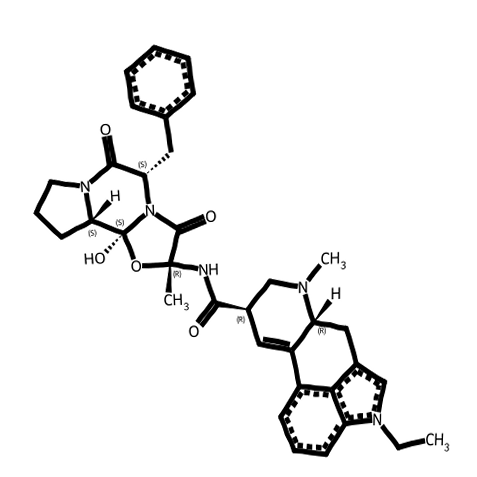 CCn1cc2c3c(cccc31)C1=C[C@@H](C(=O)N[C@]3(C)O[C@@]4(O)[C@@H]5CCCN5C(=O)[C@H](Cc5ccccc5)N4C3=O)CN(C)[C@@H]1C2